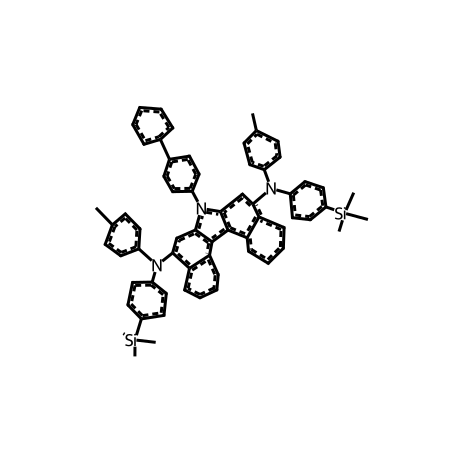 Cc1ccc(N(c2ccc([Si](C)(C)C)cc2)c2cc3c(c4ccccc24)c2c4ccccc4c(N(c4ccc(C)cc4)c4ccc([Si](C)(C)C)cc4)cc2n3-c2ccc(-c3ccccc3)cc2)cc1